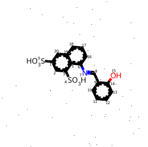 O=S(=O)(O)c1cc(S(=O)(=O)O)c2c(N=Cc3ccccc3O)cccc2c1